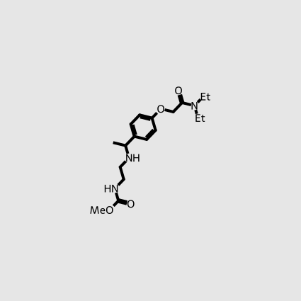 CCN(CC)C(=O)COc1ccc(C(C)NCCNC(=O)OC)cc1